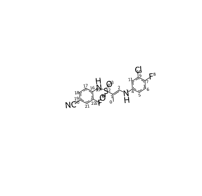 C/C(=C\Nc1ccc(F)c(Cl)c1)S(=O)(=O)Nc1ccc(C#N)cc1F